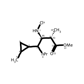 CCCC(C1CC1C)[C@@H](NCl)[C@H](C)C(=O)OC